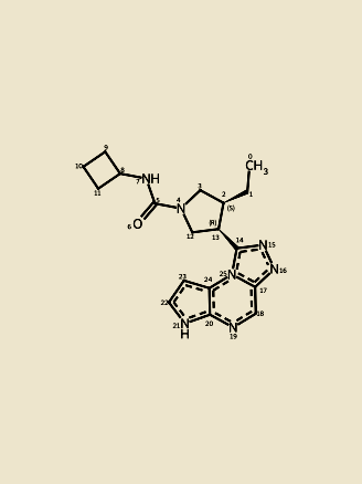 CC[C@@H]1CN(C(=O)NC2CCC2)C[C@@H]1c1nnc2cnc3[nH]ccc3n12